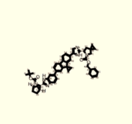 CC(C)(C)OC(=O)N1[C@@H]2CC[C@@H](C2)[C@H]1c1nc2ccc(-c3ccc4c(c3)C3(CC3)c3cc(-c5cnc([C@@H]6CC7(CC7)CN6C(=O)OCc6ccccc6)[nH]5)ccc3-4)cc2[nH]1